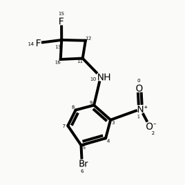 O=[N+]([O-])c1cc(Br)ccc1NC1CC(F)(F)C1